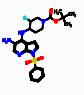 CC(C)(C)OC(=O)N1CCC(Nc2c(N)cnc3c2ccn3S(=O)(=O)c2ccccc2)C(F)C1